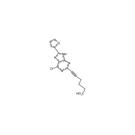 O=C(O)CCCC#Cc1nc(Cl)c2nc(-c3ccco3)[nH]c2n1